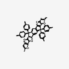 Cc1ccc(C2(c3ccc(C)cc3)c3cc4c(cc3-c3sc5cc(C)sc5c32)C(c2ccc(C)cc2)(c2ccc(C)cc2)c2c-4sc3c2sc2cc(C)sc23)cc1